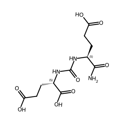 NC(=O)[C@H](CCC(=O)O)NC(=O)N[C@@H](CCC(=O)O)C(=O)O